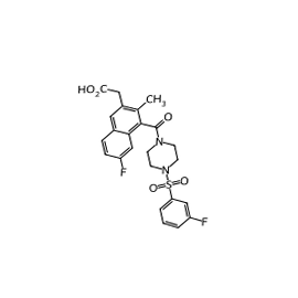 Cc1c(CC(=O)O)cc2ccc(F)cc2c1C(=O)N1CCN(S(=O)(=O)c2cccc(F)c2)CC1